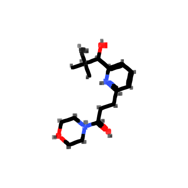 CC(C)(C)[Si](C)(C)C(O)c1cccc(CCC(=O)N2CCOCC2)n1